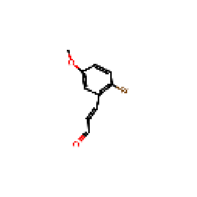 COc1ccc(Br)c(/C=C/C=O)c1